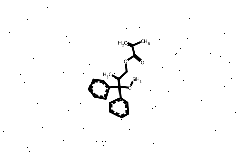 C=C(C)C(=O)OCC(C)C(O[SiH3])(c1ccccc1)c1ccccc1